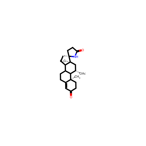 CC(=O)O[C@H]1C[C@@]2(C)C(CC[C@@]23CCC(=O)N3)C2CCC3=CC(=O)CC[C@]3(C)C21